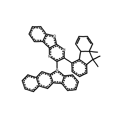 CC1(C)c2cccc(-c3nc4oc5ccccc5c4nc3-n3c4ccccc4c4cc5ccccc5cc43)c2C2C=CC=CC21C